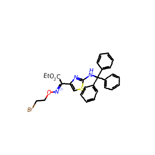 CCOC(=O)/C(=N\OCCBr)c1csc(NC(c2ccccc2)(c2ccccc2)c2ccccc2)n1